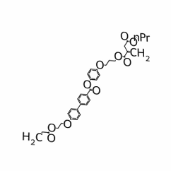 C=CC(=O)OCCOc1ccc(-c2ccc(C(=O)Oc3ccc(OCCCOC(=O)C(=C)CC(=O)OCCC)cc3)cc2)cc1